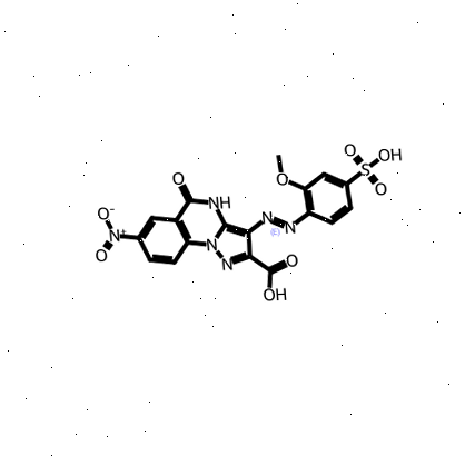 COc1cc(S(=O)(=O)O)ccc1/N=N/c1c(C(=O)O)nn2c1[nH]c(=O)c1cc([N+](=O)[O-])ccc12